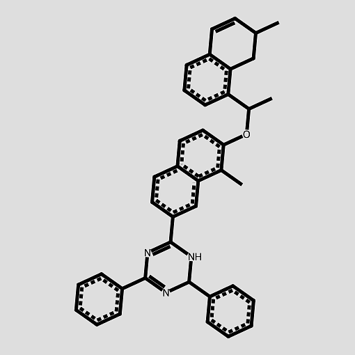 Cc1c(OC(C)c2cccc3c2CC(C)C=C3)ccc2ccc(C3=NC(c4ccccc4)=NC(c4ccccc4)N3)cc12